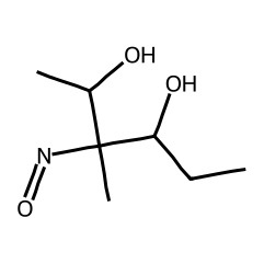 CCC(O)C(C)(N=O)C(C)O